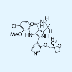 COc1c(Cl)cccc1Nc1c(-c2ccncc2OC[C@@]2(C)CCO2)[nH]c2c1C(=O)N[C@@H]1C[C@H]21